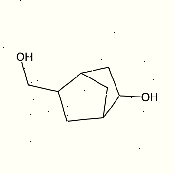 OCC1CC2CC1CC2O